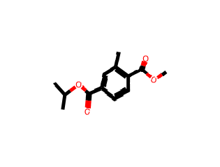 COC(=O)c1ccc(C(=O)OC(C)C)cc1C